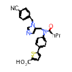 CCCC(=O)N(Cc1cncn1Cc1ccc(C#N)cc1)c1ccc(-c2ccc(C(=O)O)s2)cc1